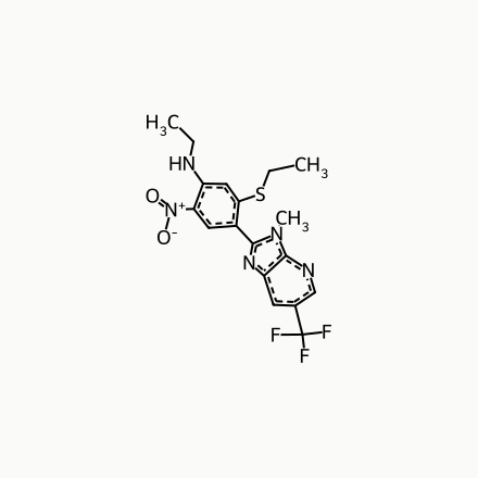 CCNc1cc(SCC)c(-c2nc3cc(C(F)(F)F)cnc3n2C)cc1[N+](=O)[O-]